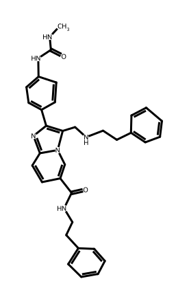 CNC(=O)Nc1ccc(-c2nc3ccc(C(=O)NCCc4ccccc4)cn3c2CNCCc2ccccc2)cc1